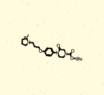 C[C@@H]1CCCN1CCCOc1ccc(N2CCN(C(=O)OC(C)(C)C)CC2=O)cc1